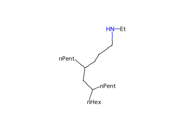 CCCCCCC(CCCCC)CC(CCCCC)CCCNCC